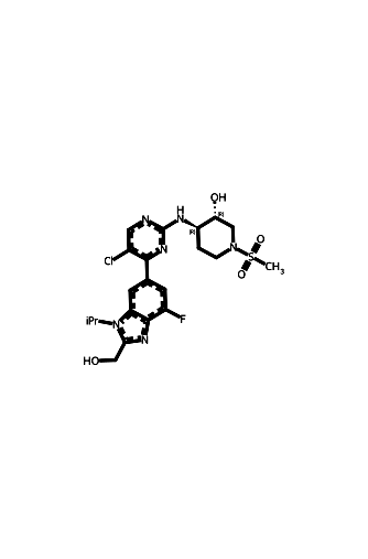 CC(C)n1c(CO)nc2c(F)cc(-c3nc(N[C@@H]4CCN(S(C)(=O)=O)C[C@H]4O)ncc3Cl)cc21